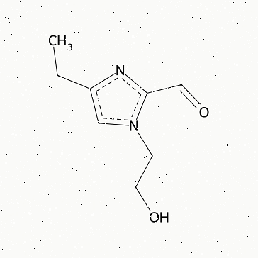 CCc1cn(CCO)c(C=O)n1